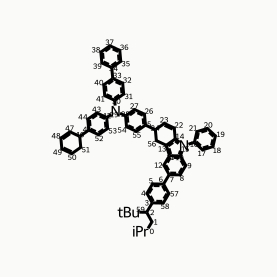 CC(C)CC(c1ccc(-c2ccc3c(c2)c2c(n3-c3ccccc3)C=CC(c3ccc(N(c4ccc(-c5ccccc5)cc4)c4ccc(C5C=CC=CC5)cc4)cc3)C2)cc1)C(C)(C)C